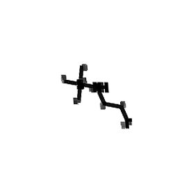 CS(C)(C)NCCF